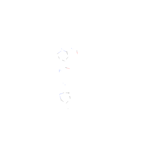 CC(C)C(=O)Nc1cc(C(=O)NC2CN(c3ncc(C(F)(F)F)cc3Cl)C2)ccn1